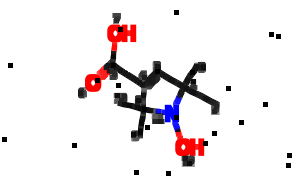 CC1(C)C=C(C(=O)O)C(C)(C)N1O